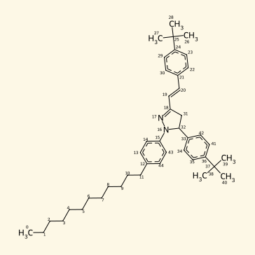 CCCCCCCCCCCCc1ccc(N2N=C(C=Cc3ccc(C(C)(C)C)cc3)CC2c2ccc(C(C)(C)C)cc2)cc1